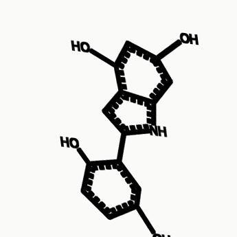 Oc1ccc(O)c(-c2cc3c(O)cc(O)cc3[nH]2)c1